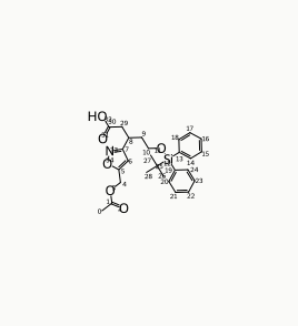 CC(=O)OCc1cc(C(CCO[Si](c2ccccc2)(c2ccccc2)C(C)(C)C)CC(=O)O)no1